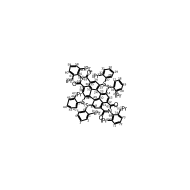 CC(C)c1ccccc1Sc1cc2c3c(cc(Sc4ccccc4C(C)C)c4c5c(Sc6ccccc6C(C)C)cc6c7c(cc(Sc8ccccc8C(C)C)c(c1c34)c75)C(=O)N(c1c(C(C)C)cccc1C(C)C)C6=O)C(=O)N(c1c(C(C)C)cccc1C(C)C)C2=O